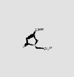 CCOC(=O)CN1CC(OC)=CC1=O